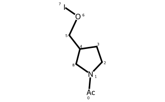 CC(=O)N1CCC(COI)C1